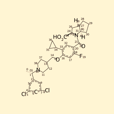 C[C@@H](c1cc(Cl)cc(Cl)c1)N1CCC(COc2cc(F)c(C(=O)N3[C@@H](C(=O)O)C[C@H]4CCC[C@H]43)cc2C2CC2)CC1